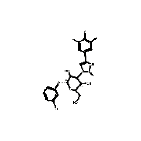 CN1NC(c2cc(F)c(F)c(F)c2)=CN1C1C(O)[C@@H](Oc2cccc(Cl)c2)OC(CO)[C@@H]1O